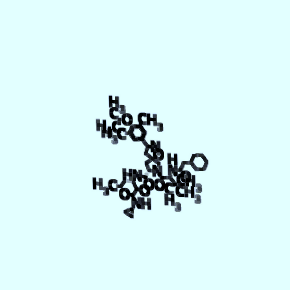 CCC[C@H](NC(=O)[C@@H]1C[C@]2(CC(c3cc(C)c(OC(C)C)c(C)c3)=NO2)CN1C(=O)[C@@H](NC(=O)CC1CCCCC1)C(C)(C)C)C(=O)C(=O)NC1CC1